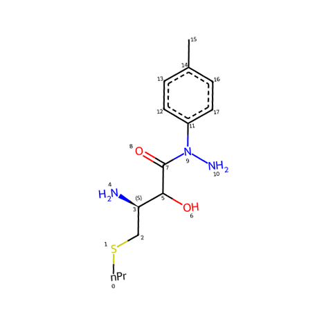 CCCSC[C@@H](N)C(O)C(=O)N(N)c1ccc(C)cc1